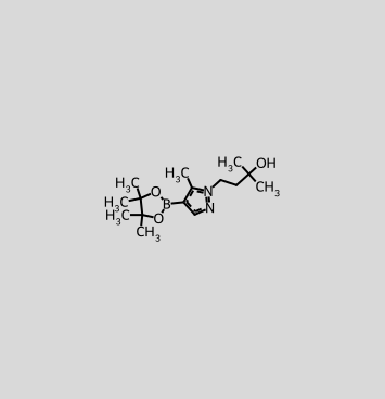 Cc1c(B2OC(C)(C)C(C)(C)O2)cnn1CCC(C)(C)O